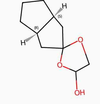 OC1COC2(C[C@H]3CCC[C@H]3C2)O1